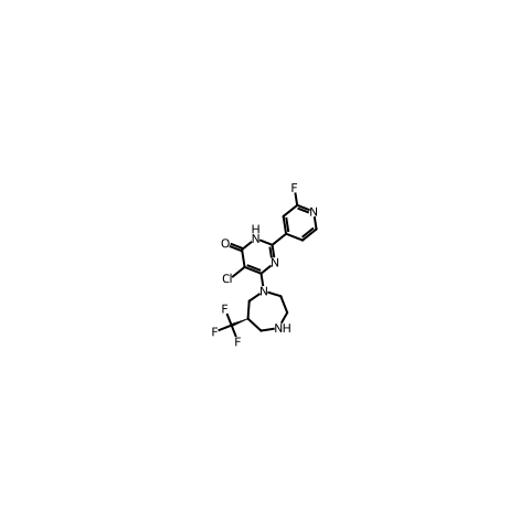 O=c1[nH]c(-c2ccnc(F)c2)nc(N2CCNC[C@@H](C(F)(F)F)C2)c1Cl